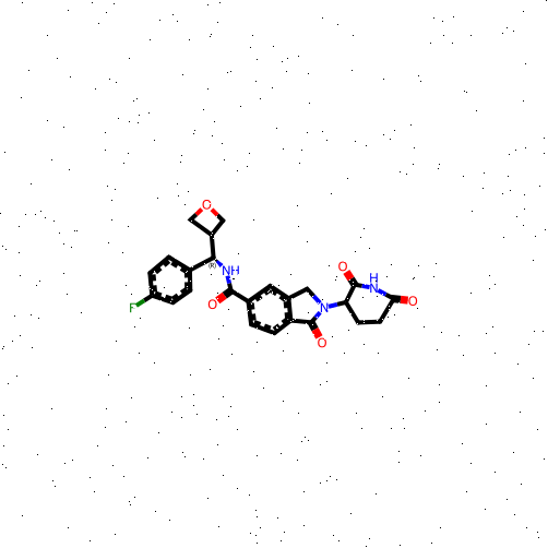 O=C1CCC(N2Cc3cc(C(=O)N[C@@H](c4ccc(F)cc4)C4COC4)ccc3C2=O)C(=O)N1